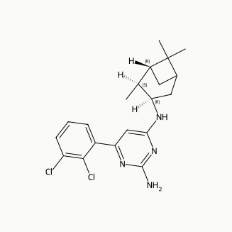 C[C@H]1[C@H]2CC(C[C@H]1Nc1cc(-c3cccc(Cl)c3Cl)nc(N)n1)C2(C)C